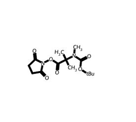 CN(C(=O)OC(C)(C)C)C(C)(C)C(=O)ON1C(=O)CCC1=O